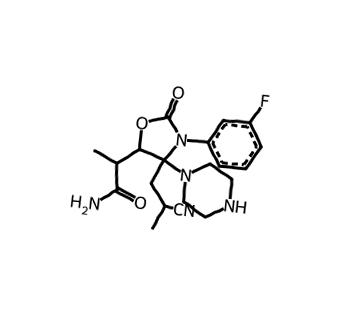 CC(C#N)CC1(N2CCNCC2)C(C(C)C(N)=O)OC(=O)N1c1cccc(F)c1